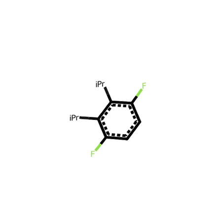 CC(C)c1c(F)ccc(F)c1C(C)C